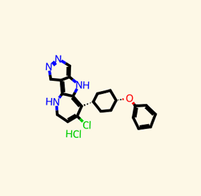 Cl.ClC1=CCNc2c3c([nH]c2=C1[C@H]1CC[C@@H](Oc2ccccc2)CC1)=CN=NC3